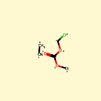 CC#N.CCOC(=O)OCCl